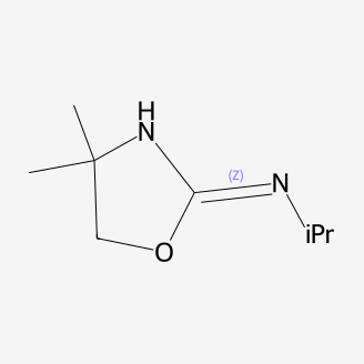 CC(C)/N=C1/NC(C)(C)CO1